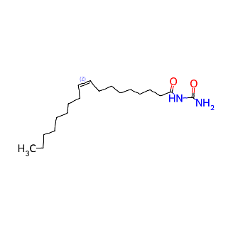 CCCCCCCC/C=C\CCCCCCCC(=O)NC(N)=O